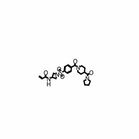 C=CC(=O)NC1CN(S(=O)(=O)c2ccc(C(=O)N3CCC(C(=O)N4CCCC4)CC3)cc2)C1